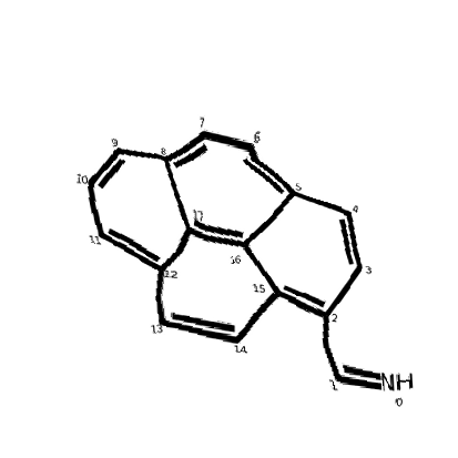 N=Cc1ccc2ccc3cccc4ccc1c2c34